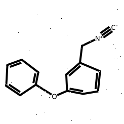 [C-]#[N+]Cc1cccc(Oc2ccccc2)c1